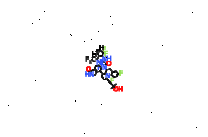 CC(C)(O)C#Cc1ccc(-c2cccc3c2CNC3=O)c([C@H](Cc2cc(F)cc(F)c2)NC(=O)CNC2=C(C(=N)C(F)(F)F)[C@H]3C[C@H]3C2(F)F)n1